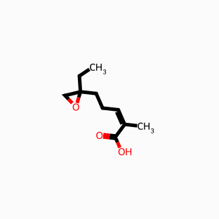 CCC1(CCC=C(C)C(=O)O)CO1